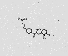 CCN(CC)CCOc1ccc(Nc2cc3c(ccc(=O)n3CC)cn2)cc1